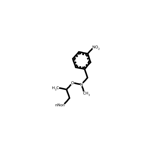 CCCCCCCCCCC(C)ON(C)Cc1cccc([N+](=O)[O-])c1